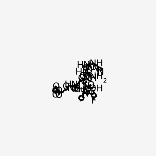 C[C@H](NC(=O)Cc1ccncc1)C(=O)N[C@H](C)C(=O)N[C@@H](CC(N)=O)C(=O)N[C@@H](CCN(C(=O)CO)[C@@H](c1cc(-c2cc(F)ccc2F)cn1Cc1ccccc1)C(C)(C)C)C(=O)NCCNC(=O)CNC(=O)CCCC(=O)ON1C(=O)CCC1=O